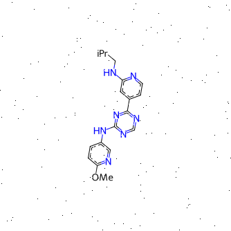 COc1ccc(Nc2ncnc(-c3ccnc(NCC(C)C)c3)n2)cn1